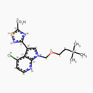 C[Si](C)(C)CCOCn1cc(-c2nsc(C(=O)O)n2)c2c(Cl)ccnc21